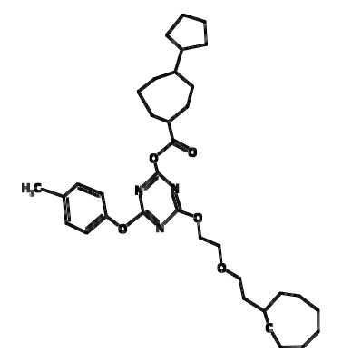 Cc1ccc(Oc2nc(OCCOCCC3CCCCCCC3)nc(OC(=O)C3CCCC(C4CCCC4)CC3)n2)cc1